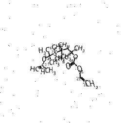 C#[SH](C)OC(C)(C)S(C)(C)C(C)(C)CC(C)(C)OC(=O)OC=C